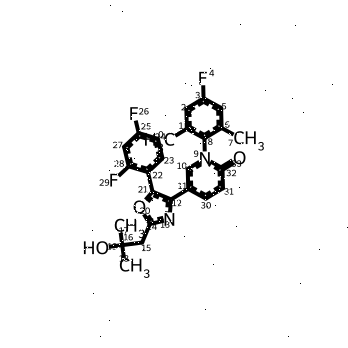 Cc1cc(F)cc(C)c1-n1cc(-c2nc(CC(C)(C)O)oc2-c2ccc(F)cc2F)ccc1=O